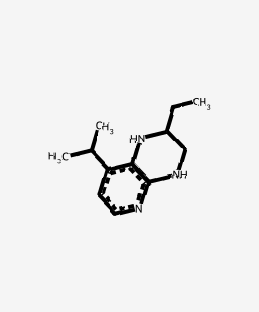 CCC1CNc2nccc(C(C)C)c2N1